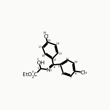 CCOC(=O)C(O)N=C(c1ccc(Cl)cc1)c1ccc(Cl)cc1